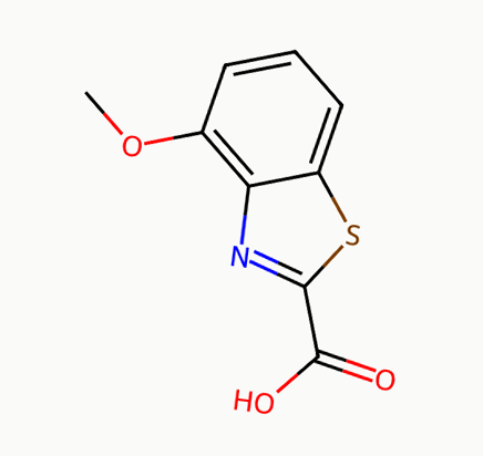 COc1cccc2sc(C(=O)O)nc12